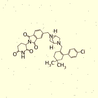 CC1(C)CCC(CN2C[C@H]3C[C@@H]2CN3Cc2ccc3c(c2)C(=O)N(C2CCC(=O)NC2=O)C3=O)=C(c2ccc(Cl)cc2)C1